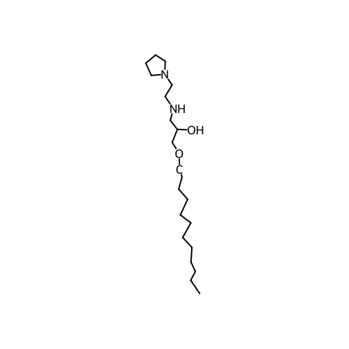 CCCCCCCCCCCCOCC(O)CNCCN1CCCC1